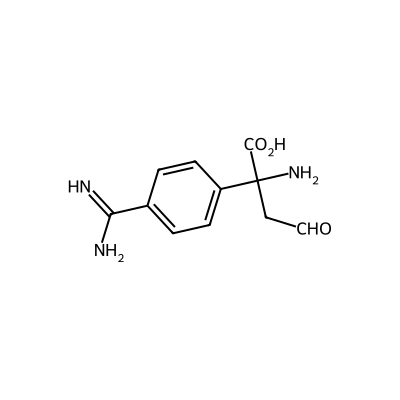 N=C(N)c1ccc(C(N)(CC=O)C(=O)O)cc1